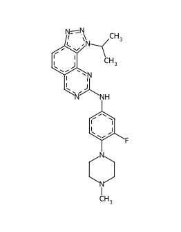 CC(C)n1nnc2ccc3cnc(Nc4ccc(N5CCN(C)CC5)c(F)c4)nc3c21